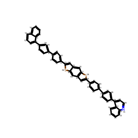 c1ccc2c(-c3ccc(-c4ccc(-c5cc6cc7sc(-c8ccc(-c9ccc(-c%10ccnc%11ccccc%10%11)cc9)cc8)cc7cc6s5)cc4)cc3)cccc2c1